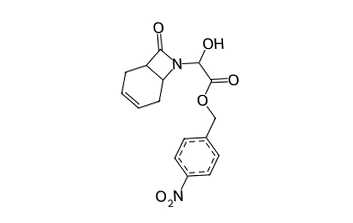 O=C(OCc1ccc([N+](=O)[O-])cc1)C(O)N1C(=O)C2CC=CCC21